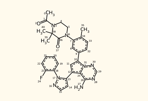 CC(=O)N1CCN(c2cc(-c3cc(-c4ccnn4-c4ccccc4F)c4c(N)ncnn34)ccc2C)C(=O)C1(C)C